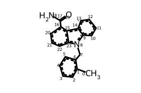 Cc1ccccc1Cn1c2ccc[c]c2c2c(C(N)=O)cccc21